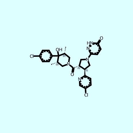 C[C@@H]1CN(C(=O)[C@@H]2CN(c3ccc(=O)[nH]n3)C[C@H]2c2ccc(Cl)cn2)C[C@H](C)C1(O)c1ccc(Cl)cc1